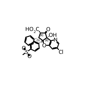 CS(=O)(=O)c1ccc([C@@]23Oc4cc(Cl)cnc4[C@]2(O)C(=O)[C@H](C(=O)O)[C@H]3c2ccccc2)cc1